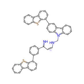 N=C(/C=C\NCn1c2ccccc2c2cc(-c3cccc4c3sc3ccccc34)ccc21)c1cccc(-c2cccc3c2sc2ccccc23)c1